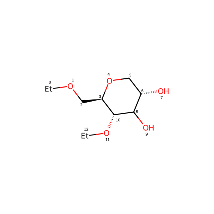 CCOC[C@H]1OC[C@H](O)C(O)[C@@H]1OCC